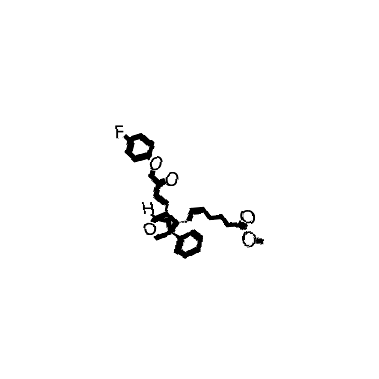 COC(=O)CCC/C=C\C[C@H]1[C@H](/C=C/C(=O)COc2ccc(F)cc2)[C@@H]2C[C@@]1(c1ccccc1)CO2